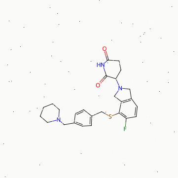 O=C1CCC(N2Cc3ccc(F)c(SCc4ccc(CN5CCCCC5)cc4)c3C2)C(=O)N1